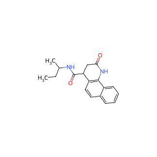 CCC(C)NC(=O)C1CC(=O)Nc2c1ccc1ccccc21